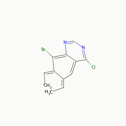 C/C=c1/cc2c(Cl)ncnc2c(Br)/c1=C/C